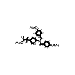 COC(=O)C(C)(C)c1ccc(N(Cc2ccc(OC)cc2)Cc2ccc(OC)cc2)nc1